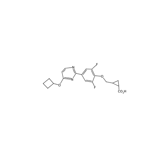 O=C(O)C1CC1COc1c(F)cc(-c2nccc(OC3CCC3)n2)cc1F